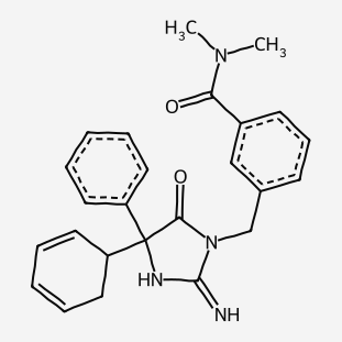 CN(C)C(=O)c1cccc(CN2C(=N)NC(c3ccccc3)(C3C=CC=CC3)C2=O)c1